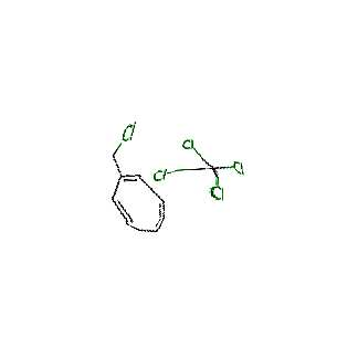 ClC(Cl)(Cl)Cl.ClCc1ccccc1